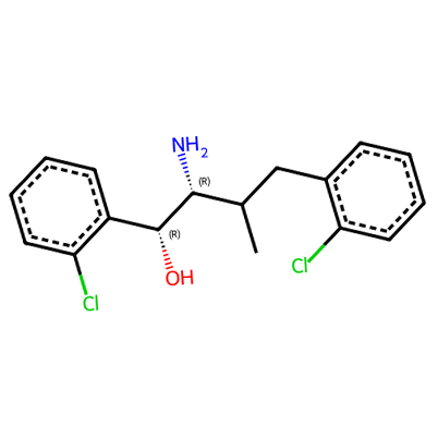 CC(Cc1ccccc1Cl)[C@@H](N)[C@H](O)c1ccccc1Cl